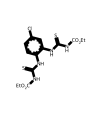 CCOC(=O)NC(=S)Nc1ccc(Cl)cc1NC(=S)NC(=O)OCC